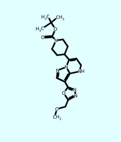 COCc1nnc(-c2cnn3c2NCC=C3C2CCN(C(=O)OC(C)(C)C)CC2)o1